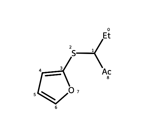 CCC(Sc1ccco1)C(C)=O